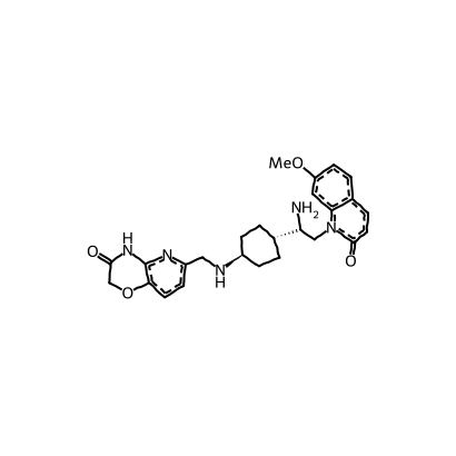 COc1ccc2ccc(=O)n(CC(N)[C@H]3CC[C@H](NCc4ccc5c(n4)NC(=O)CO5)CC3)c2c1